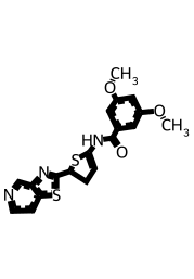 COc1cc(OC)cc(C(=O)NC2=CCC(c3nc4cnccc4s3)S2)c1